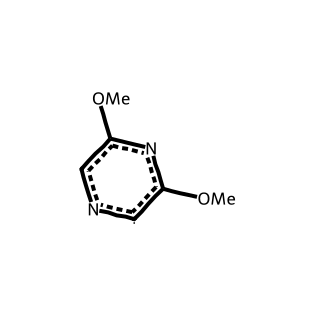 COc1[c]ncc(OC)n1